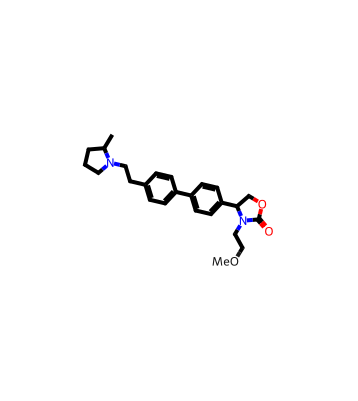 COCCN1C(=O)OCC1c1ccc(-c2ccc(CCN3CCCC3C)cc2)cc1